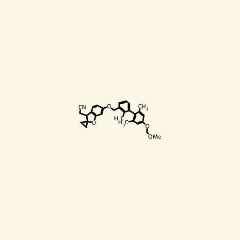 COCOc1cc(C)c(-c2cccc(COc3ccc4c(c3)OC3(CC3)C4CC#N)c2C)c(C)c1